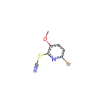 COc1ccc(Br)nc1SC#N